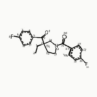 CC[C@]1(C(=O)c2ccc(F)cc2)CCN(C(=O)c2ccc(F)cc2)C1